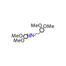 COc1ccc(C[CH]CNCc2ccc(OC)c(OC)c2)cc1OC